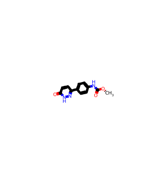 COC(=O)Nc1ccc(-c2ccc(=O)[nH]n2)cc1